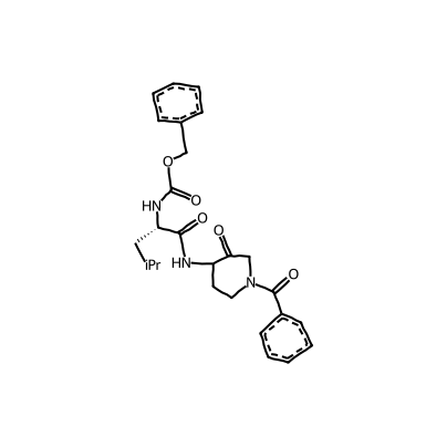 CC(C)C[C@H](NC(=O)OCc1ccccc1)C(=O)NC1CCN(C(=O)c2ccccc2)CC1=O